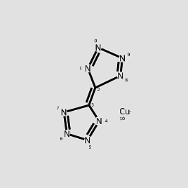 N1=NC(=C2N=NN=N2)N=N1.[Cu]